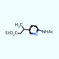 CCOC(=O)CC(C)c1ccc(NC(C)=O)nc1